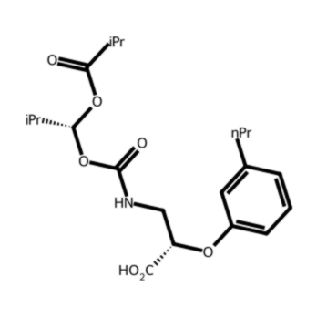 CCCc1cccc(O[C@@H](CNC(=O)O[C@@H](OC(=O)C(C)C)C(C)C)C(=O)O)c1